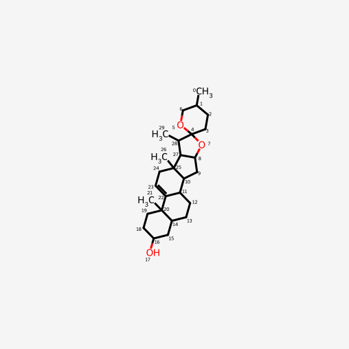 CC1CCC2(OC1)OC1CC3C4CCC5CC(O)CCC5(C)C4=CCC3(C)C1C2C